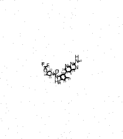 CNc1ncc2cc(-c3cc(NC(=O)N4CCC(OC(F)F)C4)c(F)cc3C)cnc2n1